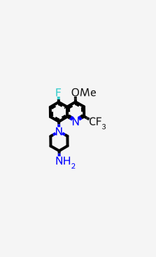 COc1cc(C(F)(F)F)nc2c(N3CCC(N)CC3)ccc(F)c12